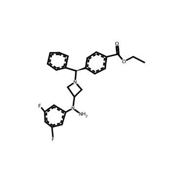 CCOC(=O)c1ccc([C@H](c2ccccc2)N2CC(N(N)c3cc(F)cc(F)c3)C2)cc1